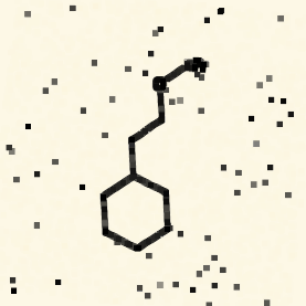 [CH2]CCOCCC1CCCCC1